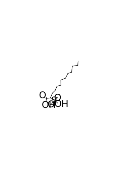 CCCCCCCCCCCC(C(=O)O)S(=O)(=O)O